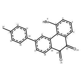 CCCCc1cccc2c1-c1cc(-c3ccc(C)cc3)ccc1C(=O)C2=O